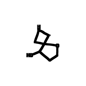 OC1CCOC12[CH]NC2